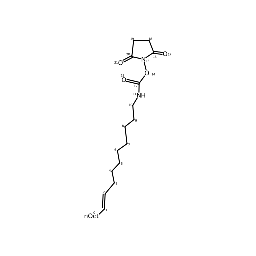 CCCCCCCCC=CCCCCCCCCNC(=O)ON1C(=O)CCC1=O